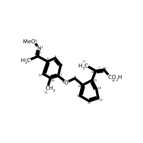 CO/N=C(\C)c1ccc(OCc2ccccc2/C(C)=C\C(=O)O)c(C)c1